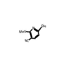 CSc1nc(O)ccc1C#N